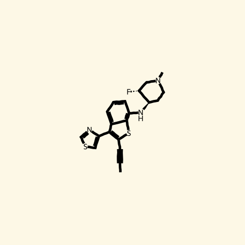 CC#Cc1sc2c(N[C@@H]3CCN(C)C[C@H]3F)cccc2c1-c1cscn1